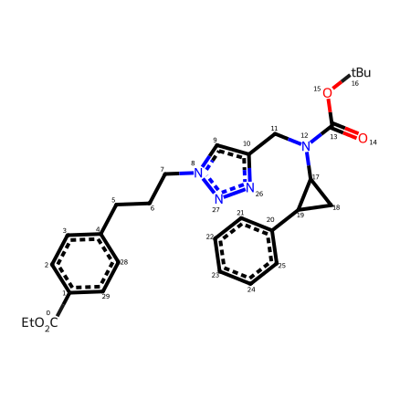 CCOC(=O)c1ccc(CCCn2cc(CN(C(=O)OC(C)(C)C)C3CC3c3ccccc3)nn2)cc1